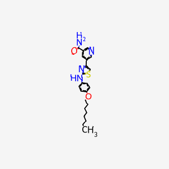 CCCCCCCCOc1ccc(Nc2nc(-c3cncc(C(N)=O)c3)cs2)cc1